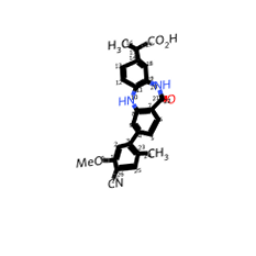 COc1cc(-c2ccc3c(c2)Nc2ccc(C(C)C(=O)O)cc2NC3=O)c(C)cc1C#N